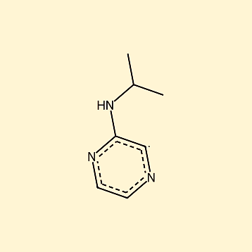 CC(C)Nc1[c]nccn1